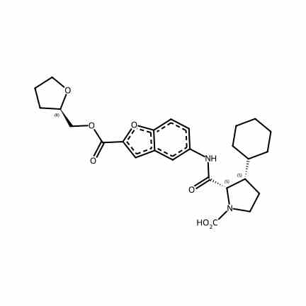 O=C(OC[C@H]1CCCO1)c1cc2cc(NC(=O)[C@@H]3[C@H](C4CCCCC4)CCN3C(=O)O)ccc2o1